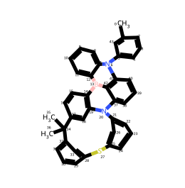 Cc1cccc(N2c3ccccc3B3c4ccc5cc4N(c4cccc(c4)Sc4cccc(c4)C5(C)C)c4cccc2c43)c1